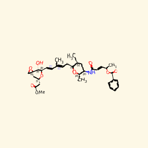 COC(=O)C[C@@H]1C[C@@]2(CO2)[C@H](O)[C@@H](/C=C/C(C)=C/C[C@@H]2O[C@H](C)[C@H](NC(=O)C=CC(C)OC(=O)c3ccccc3)C[C@@H]2C)O1